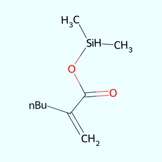 C=C(CCCC)C(=O)O[SiH](C)C